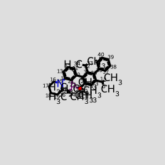 CC(C)c1cc(C(C)C)c(-c2cccc(N3CCCCC3)c2P(C(C)(C)C)C(C)(C)C)c(C(C)C)c1-c1ccccc1